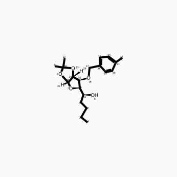 CCCC[C@H](O)[C@H]1O[C@@H]2OC(C)(C)O[C@@H]2[C@H]1OCc1ccc(C)cc1